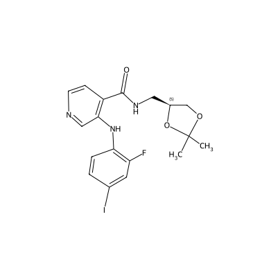 CC1(C)OC[C@H](CNC(=O)c2ccncc2Nc2ccc(I)cc2F)O1